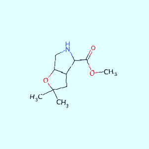 COC(=O)C1NCC2OC(C)(C)CC21